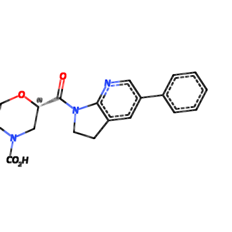 O=C(O)N1CCO[C@H](C(=O)N2CCc3cc(-c4ccccc4)cnc32)C1